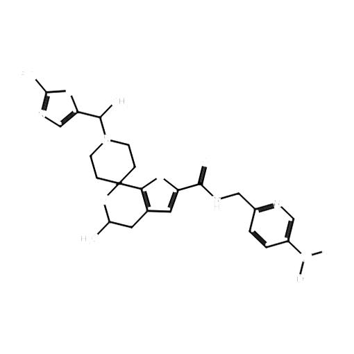 CC[S+]([O-])c1ccc(CNC(=O)c2cc3c(s2)C2(CCN(C(C)c4cnc(C(F)(F)F)s4)CC2)OC(C)C3)nc1